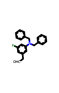 O=CCc1cc(F)cc(N(Cc2ccccc2)Cc2ccccc2)c1